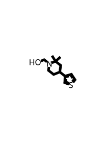 CC1(C)CC(c2ccsc2)CCN1CO